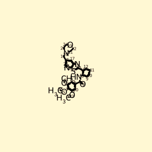 COc1cc(C(=O)Nc2ccccc2-c2nc3cc(CN4CCOCC4)cnc3s2)cc(OC)c1OC